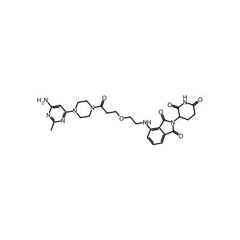 Cc1nc(N)cc(N2CCN(C(=O)CCOCCNc3cccc4c3C(=O)N(C3CCC(=O)NC3=O)C4=O)CC2)n1